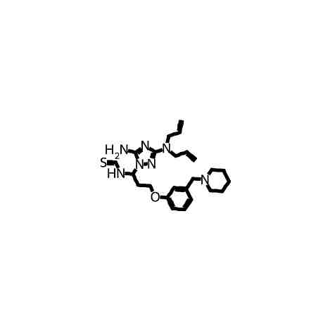 C=CCN(CC=C)c1nc(N)n(C(CCOc2cccc(CN3CCCCC3)c2)NC=S)n1